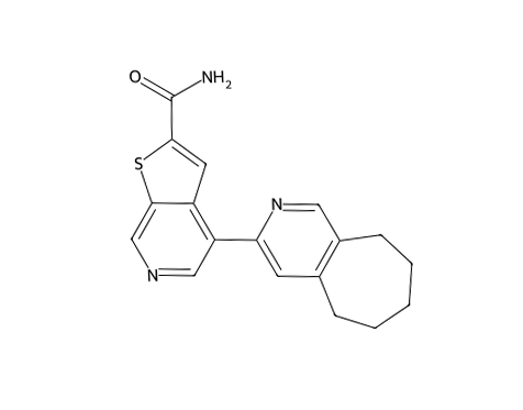 NC(=O)c1cc2c(-c3cc4c(cn3)CCCCC4)cncc2s1